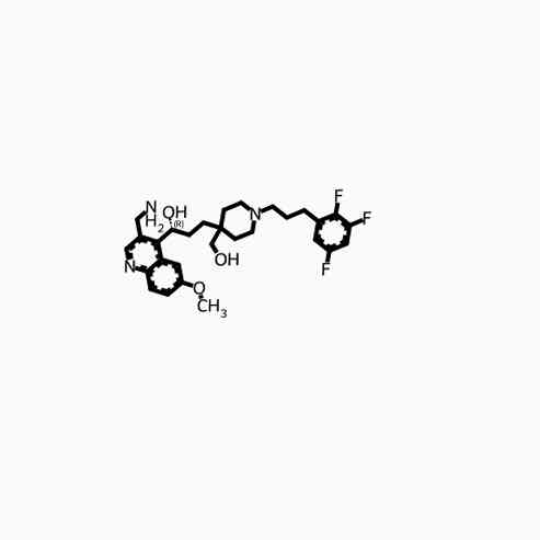 COc1ccc2ncc(CN)c([C@H](O)CCC3(CO)CCN(CCCc4cc(F)cc(F)c4F)CC3)c2c1